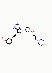 COc1cc(C#Cc2cn([C@H]3CCN(C(=O)/C=C/CN4CCC(O)CC4)C3)c3ncnc(N)c23)cc(OC)c1